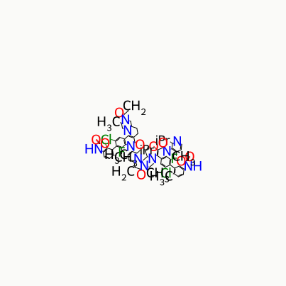 C=CC(=O)N1CC2CCc3c(c4cc(Cl)c(-c5c(C)ccc6[nH]c(=O)oc56)c(F)c4n(-c4c(C)cc(C(=C)C(=O)N5CC6CCOc7c(c8cc(Cl)c(-c9c(C)ccc%10[nH]c(=O)oc9%10)c(F)c8n(-c8c(C)ccnc8C(C)C)c7=O)N6CC5C)nc4C(C)C)c3=O)N2CC1C